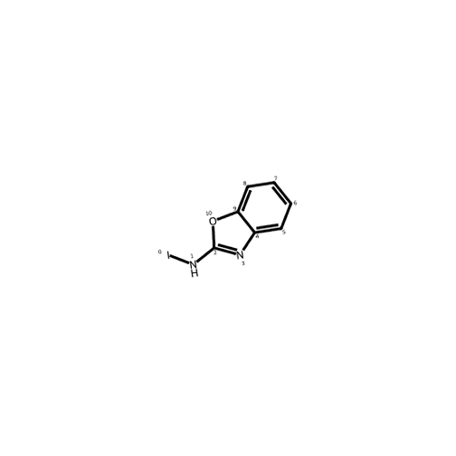 INc1nc2ccccc2o1